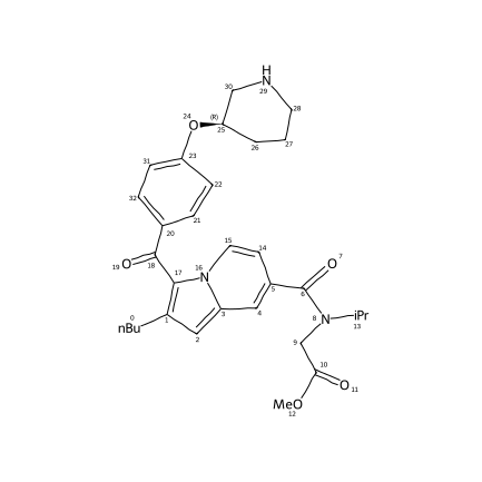 CCCCc1cc2cc(C(=O)N(CC(=O)OC)C(C)C)ccn2c1C(=O)c1ccc(O[C@@H]2CCCNC2)cc1